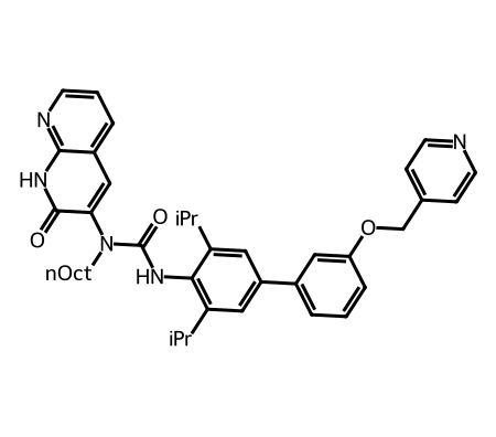 CCCCCCCCN(C(=O)Nc1c(C(C)C)cc(-c2cccc(OCc3ccncc3)c2)cc1C(C)C)c1cc2cccnc2[nH]c1=O